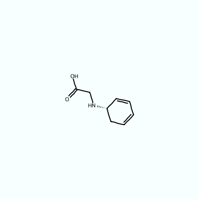 O=C(O)CN[C@@H]1C=CC=CC1